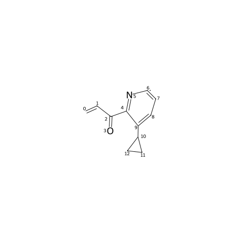 C=CC(=O)c1n[c]ccc1C1CC1